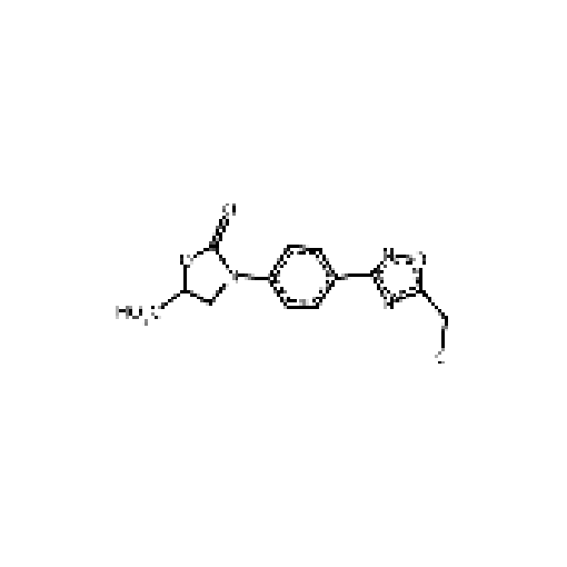 O=C(O)C1CN(c2ccc(-c3noc(CCl)n3)cc2)C(=O)O1